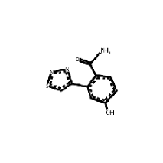 NC(=O)c1ccc(O)cc1-c1csnn1